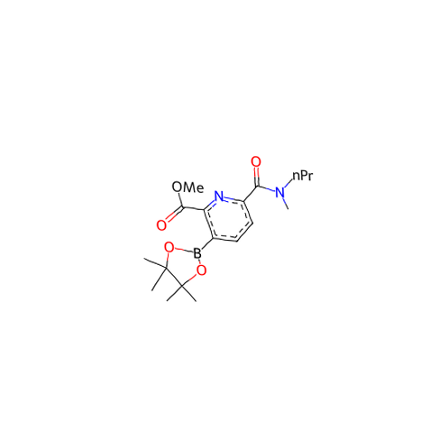 CCCN(C)C(=O)c1ccc(B2OC(C)(C)C(C)(C)O2)c(C(=O)OC)n1